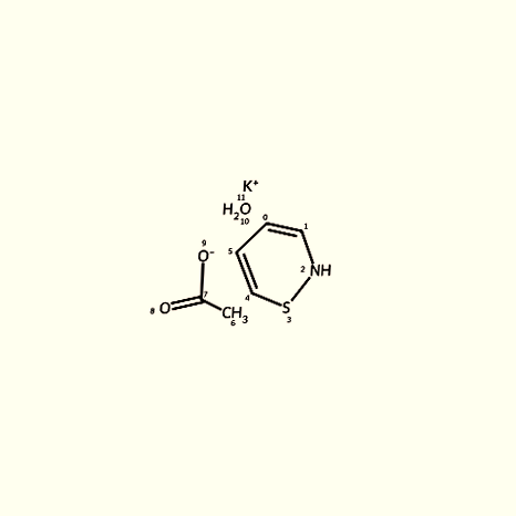 C1=CNSC=C1.CC(=O)[O-].O.[K+]